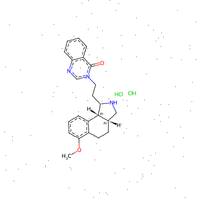 COc1cccc2c1CC[C@H]1CNC(CCn3cnc4ccccc4c3=O)[C@@H]21.Cl.Cl